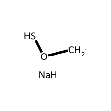 [CH2]OS.[NaH]